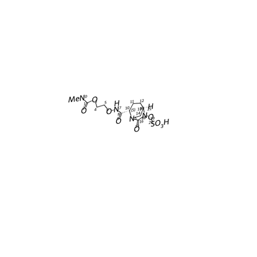 CNC(=O)OCCONC(=O)[C@@H]1CC[C@@H]2CN1C(=O)N2OS(=O)(=O)O